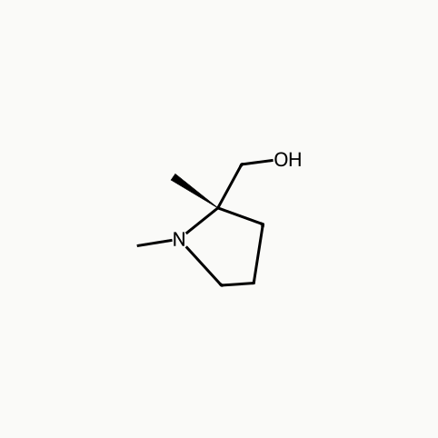 CN1CCC[C@@]1(C)CO